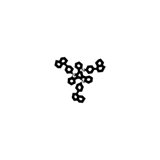 c1ccc2c(-c3ccc(-n4c5ccccc5c5c4c4c6ccccc6n(-c6ccc(-c7cccc8ccccc78)cc6)c4c4c6ccccc6n(-c6ccc(-c7cccc8ccccc78)cc6)c54)cc3)cccc2c1